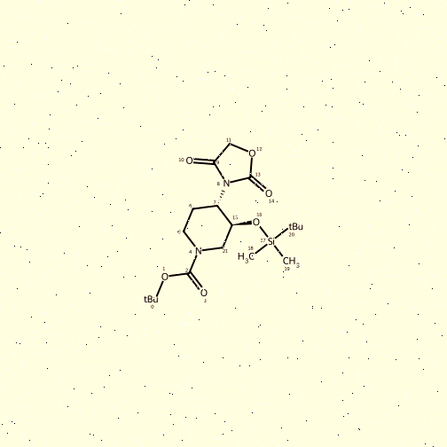 CC(C)(C)OC(=O)N1CC[C@H](N2C(=O)COC2=O)[C@@H](O[Si](C)(C)C(C)(C)C)C1